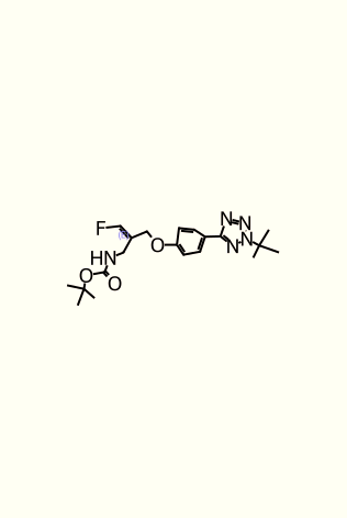 CC(C)(C)OC(=O)NC/C(=C\F)COc1ccc(-c2nnn(C(C)(C)C)n2)cc1